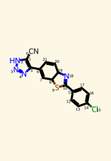 N#Cc1[nH]nnc1C1=CC2SC(c3ccc(Cl)cc3)=NC2C=C1